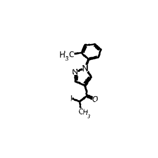 Cc1ccccc1-n1cc(C(=O)C(C)I)cn1